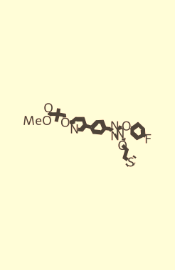 COC(=O)C(C)(C)COc1ccc(-c2ccc(-c3nc(Oc4ccc(F)cc4)n(COCCS(C)(C)C)n3)cc2)cn1